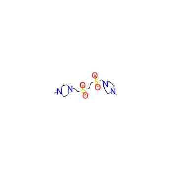 CN1CCN(CCS(=O)(=O)CCS(=O)(=O)CN2CCN(C)CC2)CC1